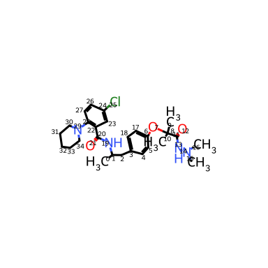 CC(Cc1ccc(OC(C)(C)C(=O)NN(C)C)cc1)NC(=O)c1cc(Cl)ccc1N1CCCCC1